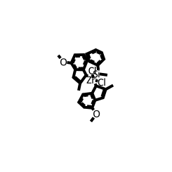 COc1cccc2c1C=C(C)[CH]2[Zr]([Cl])([Cl])([CH]1C(C)=Cc2c(OC)cccc21)=[Si](C)c1ccccc1